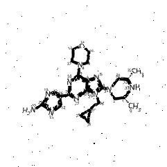 C[C@@H]1CN(c2nc3c(N4CCOCC4)nc(-c4cnc(N)nc4)nc3n2CC2CC2)C[C@H](C)N1